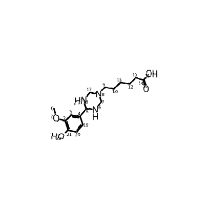 COc1cc(C2NCN(CCCCCC(=O)O)CN2)ccc1O